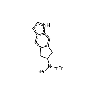 CCCN(CCC)C1Cc2cc3cc[nH]c3cc2C1